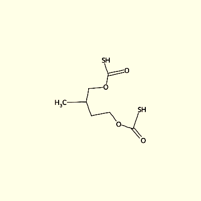 CC(CCOC(=O)S)COC(=O)S